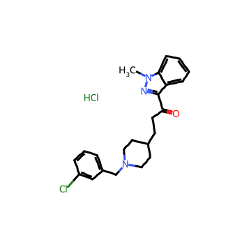 Cl.Cn1nc(C(=O)CCC2CCN(Cc3cccc(Cl)c3)CC2)c2ccccc21